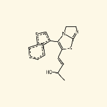 CC(O)C=CC1=C(c2csc3ccccc23)N2CCN=C2S1